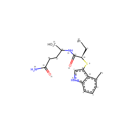 Cc1cccc2[nH]cc(S[C@H](CC(C)C)C(=O)NC(CCC(N)=O)C(=O)O)c12